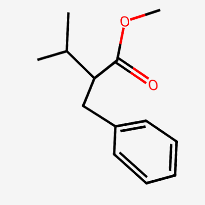 COC(=O)C(Cc1ccccc1)C(C)C